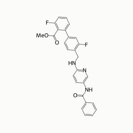 COC(=O)c1c(F)cccc1-c1ccc(CNc2ccc(NC(=O)c3ccccc3)cn2)c(F)c1